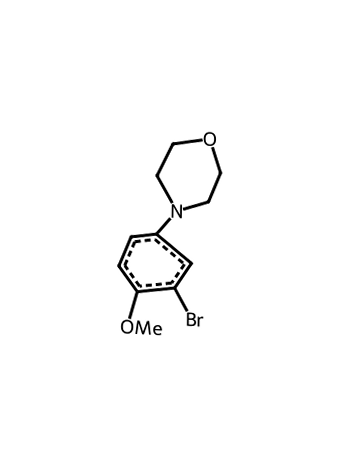 COc1ccc(N2CCOCC2)cc1Br